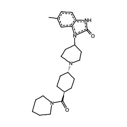 Cc1ccc2[nH]c(=O)n(C3CCN([C@H]4CC[C@H](C(=O)N5CCCCC5)CC4)CC3)c2c1